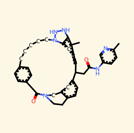 Cc1ccc(NC(=O)CC2c3ccc4c(c3)CN(CC4)C(=O)c3ccc(cc3)CCCCCN3NNc4c3ccc2c4C)cn1